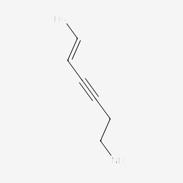 NCCC#C/C=C/S